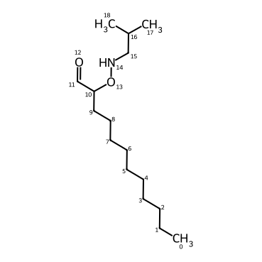 CCCCCCCCCCC(C=O)ONCC(C)C